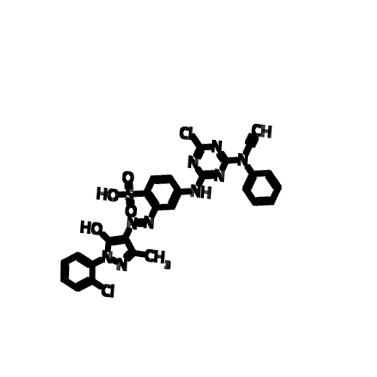 C#CN(c1ccccc1)c1nc(Cl)nc(Nc2ccc(S(=O)(=O)O)c(/N=N/c3c(C)nn(-c4ccccc4Cl)c3O)c2)n1